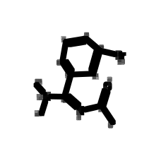 CC(=O)/N=C(\c1cccc(Br)c1)N(C)C